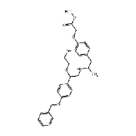 COC(=O)COc1ccc(CC(C)NCC(OCCO)c2ccc(OCc3ccccc3)cc2)cc1